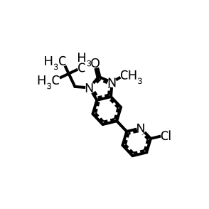 Cn1c(=O)n(CC(C)(C)C)c2ccc(-c3cccc(Cl)n3)cc21